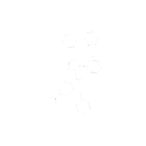 O=C(O)N1CCN(C(=O)c2ncn([C@H](c3ccccc3)[C@@H](O)c3ccccc3)c2-c2ccccc2)[C@H](Cc2ccccc2)C1